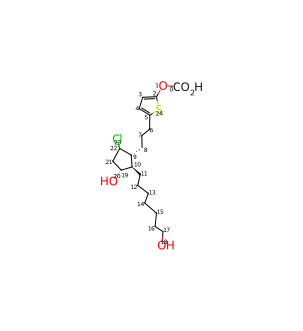 O=C(O)Oc1ccc(CCC[C@@H]2[C@@H](CCCCCCCO)[C@H](O)C[C@H]2Cl)s1